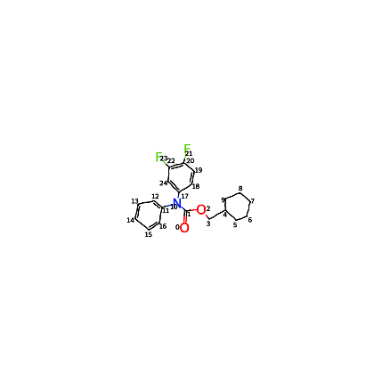 O=C(OCC1CCCCC1)N(c1ccccc1)c1ccc(F)c(F)c1